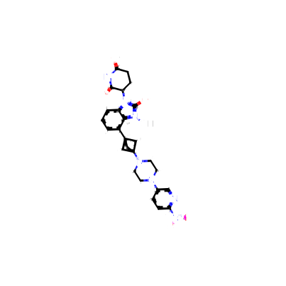 Cn1c(=O)n(C2CCC(=O)NC2=O)c2cccc(C34CC(N5CCN(c6ccc([N+](=O)[O-])nc6)CC5)(C3)C4)c21